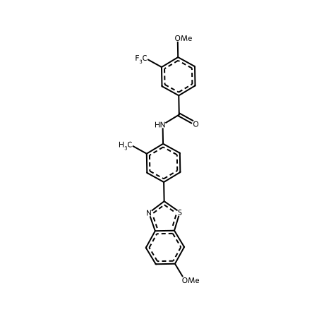 COc1ccc2nc(-c3ccc(NC(=O)c4ccc(OC)c(C(F)(F)F)c4)c(C)c3)sc2c1